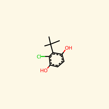 CC(C)(C)c1c(O)ccc(O)c1Cl